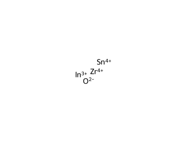 [In+3].[O-2].[Sn+4].[Zr+4]